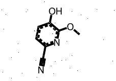 COc1nc(C#N)ccc1O